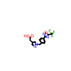 O=C(O)Cc1cnn(Cc2ccc(-c3noc(C(F)(F)F)n3)cc2)c1